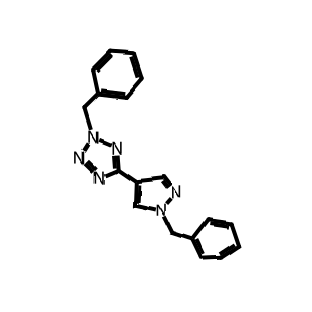 c1ccc(Cn2cc(-c3nnn(Cc4ccccc4)n3)cn2)cc1